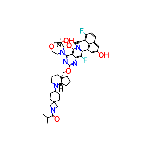 C#Cc1c(F)ccc2cc(O)cc(-c3nc(OC)c4c(N5CCOC[C@@](C)(O)C5)nc(OC[C@]56CCC[C@H]5N(C5CCC7(CC5)CN(C(=O)C(C)C)C7)CCC6)nc4c3F)c12